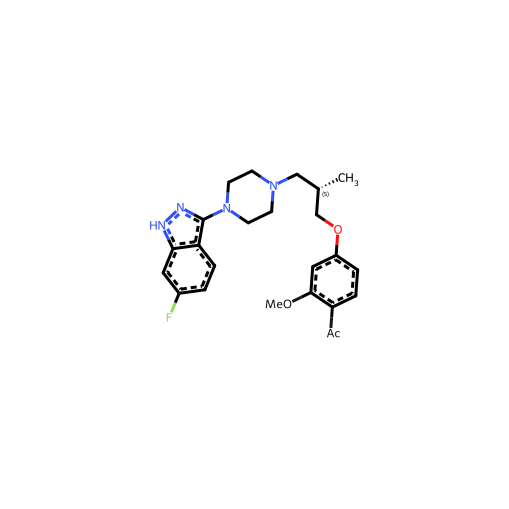 COc1cc(OC[C@@H](C)CN2CCN(c3n[nH]c4cc(F)ccc34)CC2)ccc1C(C)=O